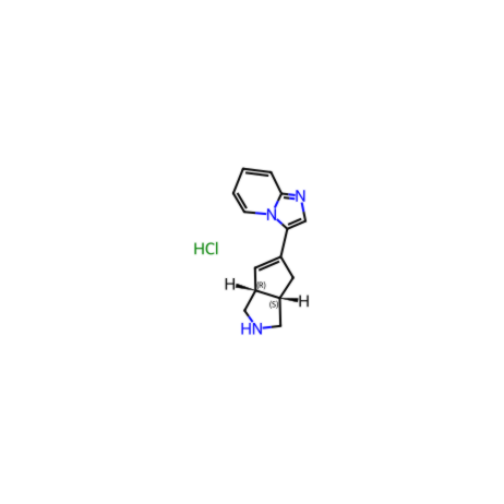 C1=C(c2cnc3ccccn23)C[C@@H]2CNC[C@H]12.Cl